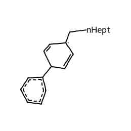 CCCCCCCC[C]1C=CC(c2ccccc2)C=C1